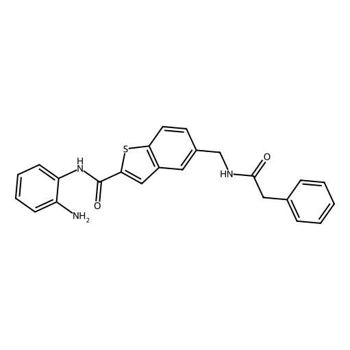 Nc1ccccc1NC(=O)c1cc2cc(CNC(=O)Cc3ccccc3)ccc2s1